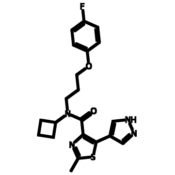 Cc1nc(C(=O)N(CCCOc2ccc(F)cc2)C2CCC2)c(-c2cn[nH]c2)s1